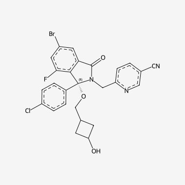 N#Cc1ccc(CN2C(=O)c3cc(Br)cc(F)c3[C@]2(OCC2CC(O)C2)c2ccc(Cl)cc2)nc1